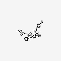 CCOC(=O)CCCN(C(=O)Oc1ccc2[nH]c(C)c(C(=O)CCc3ccc(C#N)cc3)c2c1)c1ccccn1